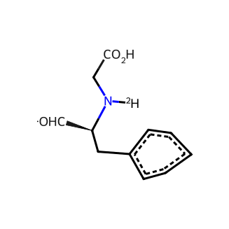 [2H]N(CC(=O)O)[C@H]([C]=O)Cc1ccccc1